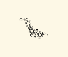 O=C[C@H]1CC[C@H](n2cc3cc(NC(=O)c4cccc(C(F)(F)F)c4)c(C(F)(F)F)cc3n2)CC1